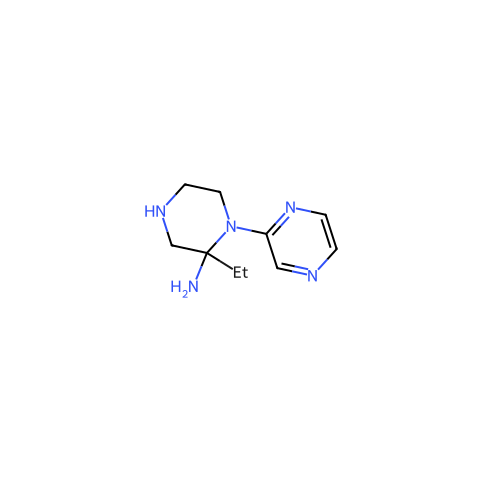 CCC1(N)CNCCN1c1cnccn1